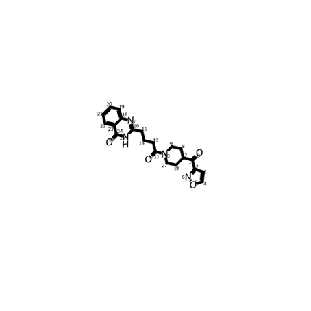 O=C(c1ccon1)C1CCN(C(=O)CCCc2nc3ccccc3c(=O)[nH]2)CC1